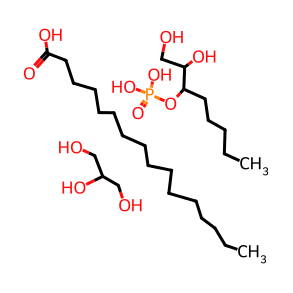 CCCCCC(OP(=O)(O)O)C(O)CO.CCCCCCCCCCCCCCCC(=O)O.OCC(O)CO